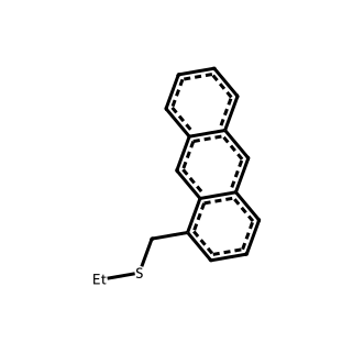 CCSCc1cccc2cc3ccccc3cc12